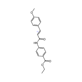 CCOC(=O)c1ccc(NC(=O)/C=C/c2ccc(OC)cc2)cc1